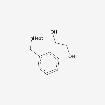 CCCCCCCCc1ccccc1.OCCO